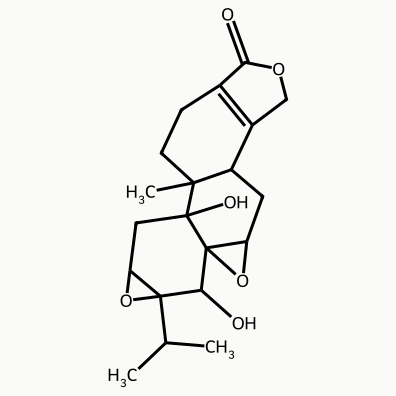 CC(C)C12OC1CC1(O)C3(C)CCC4=C(COC4=O)C3CC3OC31C2O